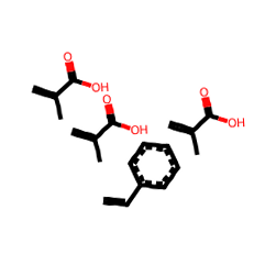 C=C(C)C(=O)O.C=C(C)C(=O)O.C=C(C)C(=O)O.C=Cc1ccccc1